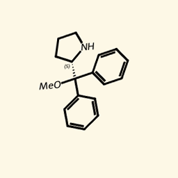 COC(c1ccccc1)(c1ccccc1)[C@@H]1CCCN1